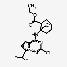 CCOC(=O)C1CC2CCC1(Nc1nc(Cl)nn3c(C(F)F)ccc13)CC2